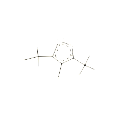 Clc1c(C(Cl)(Cl)Cl)n[nH]c1C(Cl)(Cl)Cl